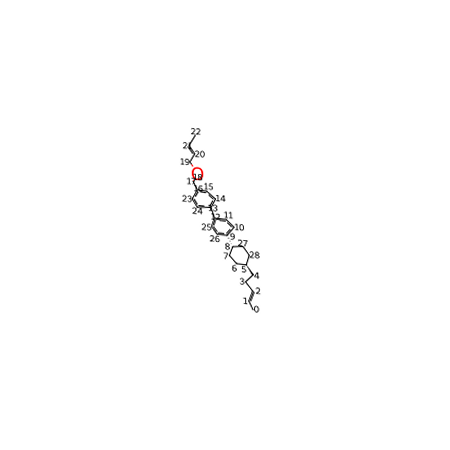 CC=CCC[C@H]1CC[C@H](c2ccc(-c3ccc(COCC=CC)cc3)cc2)CC1